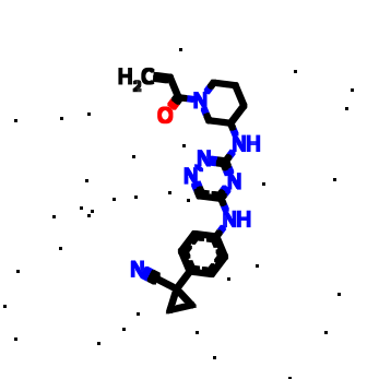 C=CC(=O)N1CCCC(Nc2nncc(Nc3ccc(C4(C#N)CC4)cc3)n2)C1